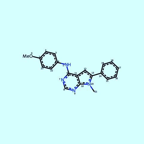 COc1ccc(Nc2ncnc3c2cc(-c2ccccc2)n3C)cc1